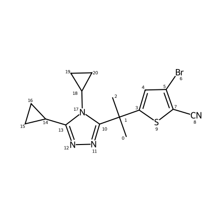 CC(C)(c1cc(Br)c(C#N)s1)c1nnc(C2CC2)n1C1CC1